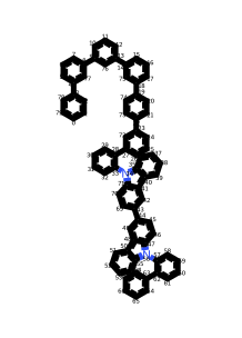 c1ccc(-c2cccc(-c3cccc(-c4cccc(-c5ccc(-c6cccc(-c7ccccc7-n7c8ccccc8c8cc(-c9ccc%10c(c9)c9ccccc9n%10-c9ccccc9-c9ccccc9)ccc87)c6)cc5)c4)c3)c2)cc1